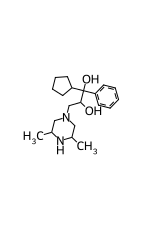 CC1CN(CC(O)C(O)(c2ccccc2)C2CCCC2)CC(C)N1